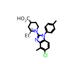 CC[C@H]1CC(C(=O)O)CCN1c1nc2c(C)c(Cl)ccc2n1-c1ccc(C)cc1